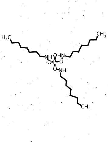 CCCCCCCCNOP(=O)(ONCCCCCCCC)ONCCCCCCCC